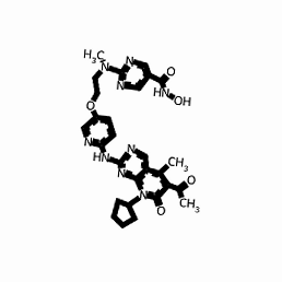 CC(=O)c1c(C)c2cnc(Nc3ccc(OCCN(C)c4ncc(C(=O)NO)cn4)cn3)nc2n(C2CCCC2)c1=O